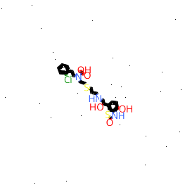 O=C(O)N(CCSCCCNC[C@H](O)c1ccc(O)c2[nH]c(=O)sc12)CCc1ccccc1Cl